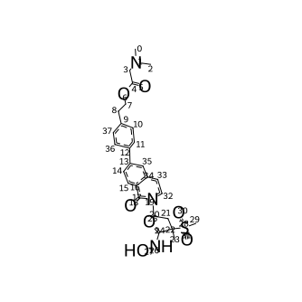 CN(C)CC(=O)OCCc1ccc(-c2ccc3c(=O)n(CCC(C)(C(=O)NO)S(C)(=O)=O)ccc3c2)cc1